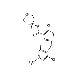 C[N+]1(NC(=O)c2cc(Oc3c(F)cc(C(F)(F)F)cc3Cl)ccc2Cl)CCOCC1